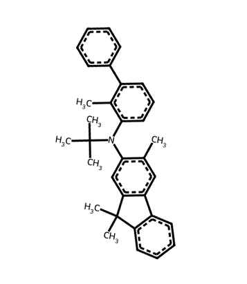 Cc1cc2c(cc1N(c1cccc(-c3ccccc3)c1C)C(C)(C)C)C(C)(C)c1ccccc1-2